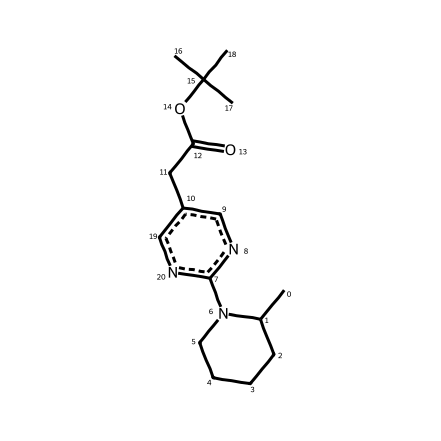 CC1CCCCN1c1ncc(CC(=O)OC(C)(C)C)cn1